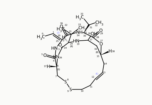 C/C=C1\NC(=O)[C@H]2CSSCC/C=C/C[C@H](CC(O)N[C@H](C(C)C)C(=O)N2)OC(=O)[C@H](C(C)C)NC1=O